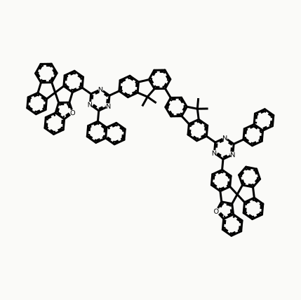 CC1(C)c2cc(-c3nc(-c4ccc5c(c4)C4(c6ccccc6-c6ccccc64)c4c-5oc5ccccc45)nc(-c4ccc5ccccc5c4)n3)ccc2-c2ccc(-c3cccc4c3C(C)(C)c3cc(-c5nc(-c6cccc7c6-c6oc8ccccc8c6C76c7ccccc7-c7ccccc76)nc(-c6cccc7ccccc67)n5)ccc3-4)cc21